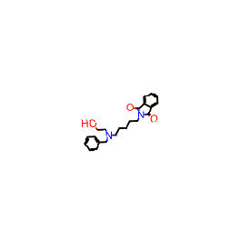 O=C1c2ccccc2C(=O)N1CCCCCN(CCO)Cc1ccccc1